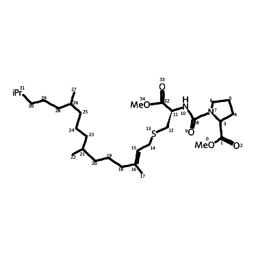 COC(=O)C1CCCN1C(=O)N[C@@H](CSC/C=C(\C)CCCC(C)CCCC(C)CCCC(C)C)C(=O)OC